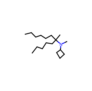 CCCCCCC(C)(CCCCC)N(C)C1CCC1